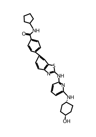 O=C(NC1CCCC1)c1ccc(-c2ccc3nc(Nc4cccc(N[C@H]5CC[C@H](O)CC5)n4)sc3c2)cc1